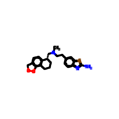 CN(CCc1ccc2nc(N)sc2c1)C[C@@H]1CCCc2c1ccc1c2OOC1